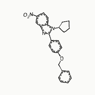 O=[N+]([O-])c1ccc2c(c1)nc(-c1ccc(OCc3ccccc3)cc1)n2C1CCCC1